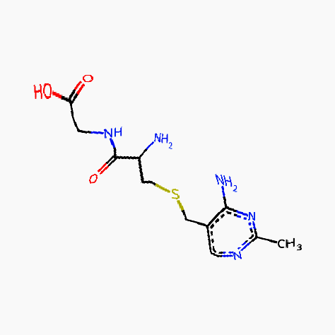 Cc1ncc(CSCC(N)C(=O)NCC(=O)O)c(N)n1